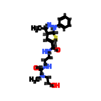 Cc1nn(-c2ccccc2)c2sc(C(=O)NCCNC(=O)N(C)CCO)cc12